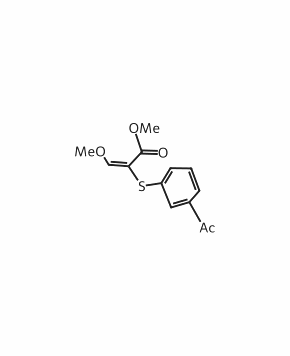 CO/C=C(/Sc1cccc(C(C)=O)c1)C(=O)OC